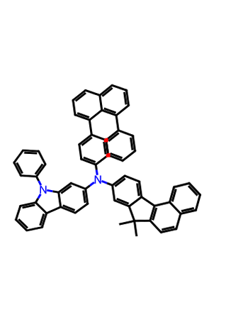 CC1(C)c2cc(N(c3ccc(-c4cccc5cccc(-c6ccccc6)c45)cc3)c3ccc4c5ccccc5n(-c5ccccc5)c4c3)ccc2-c2c1ccc1ccccc21